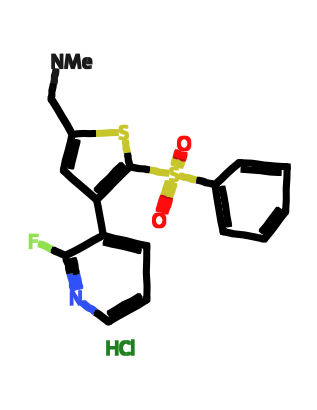 CNCc1cc(-c2cccnc2F)c(S(=O)(=O)c2ccccc2)s1.Cl